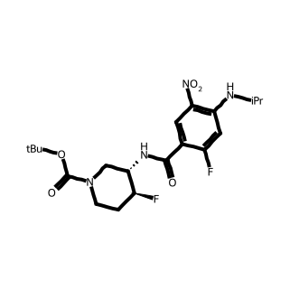 CC(C)Nc1cc(F)c(C(=O)N[C@H]2CN(C(=O)OC(C)(C)C)CC[C@@H]2F)cc1[N+](=O)[O-]